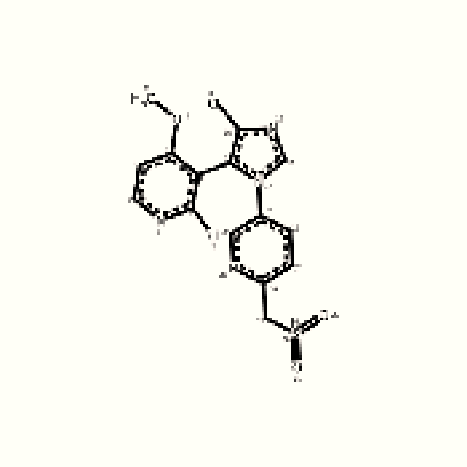 COc1ccnc(Cl)c1-c1c(Cl)ncn1-c1ccc(C[SH](=O)=O)nc1